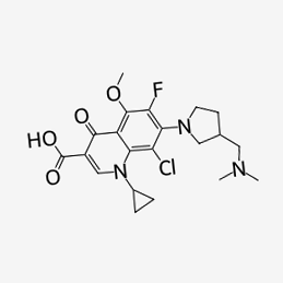 COc1c(F)c(N2CCC(CN(C)C)C2)c(Cl)c2c1c(=O)c(C(=O)O)cn2C1CC1